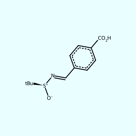 CC(C)(C)[S@+]([O-])N=Cc1ccc(C(=O)O)cc1